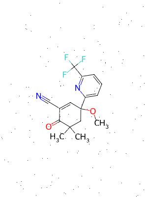 COC1(c2cccc(C(F)(F)F)n2)C=C(C#N)C(=O)C(C)(C)C1